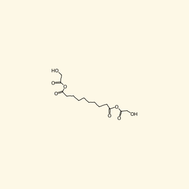 O=C(CO)OC(=O)CCCCCCCCC(=O)OC(=O)CO